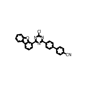 N#Cc1ccc(-c2ccc(-c3nc(Cl)nc(-c4cccc5c4oc4ccccc45)n3)cc2)cc1